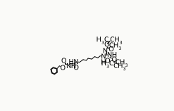 CC(C)(C)OC(=O)N=C(NCCCCCCCCNC(=O)CNC(=O)OCc1ccccc1)NC(=O)OC(C)(C)C